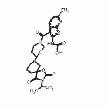 Cc1ccc2c(C(=O)N3CCC(N4CCCC5(C4)OC(=O)N(C(C)C)C5=O)CC3)c(NC(=O)O)sc2n1